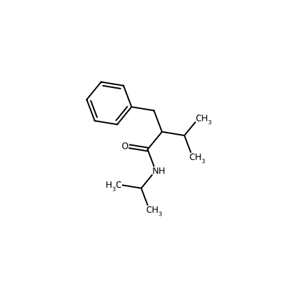 CC(C)NC(=O)C(Cc1ccccc1)C(C)C